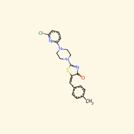 Cc1ccc(C=C2SC(N3CCN(c4cccc(Cl)n4)CC3)=NC2=O)cc1